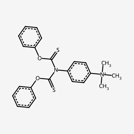 C[N+](C)(C)c1ccc(N(C(=S)Oc2ccccc2)C(=S)Oc2ccccc2)cc1